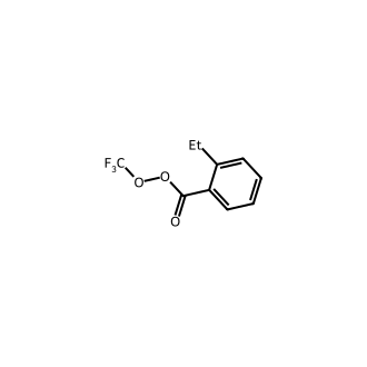 CCc1ccccc1C(=O)OOC(F)(F)F